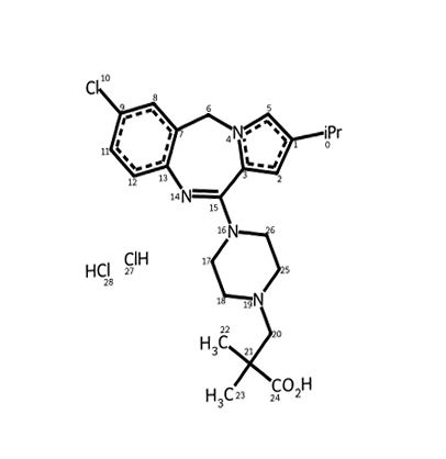 CC(C)c1cc2n(c1)Cc1cc(Cl)ccc1N=C2N1CCN(CC(C)(C)C(=O)O)CC1.Cl.Cl